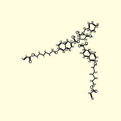 C=CC(=O)OCCCCCCOc1ccc2cc(C(=O)O[C@H]3C(=O)N(Cc4ccc(C)cc4)C(=O)[C@@H]3OC(=O)c3ccc4cc(OCCCCCCOC(=O)C=C)ccc4c3)ccc2c1